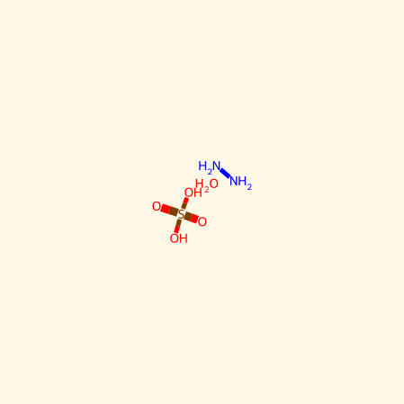 NN.O.O=S(=O)(O)O